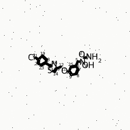 NC(=O)N(O)Cc1cccc(OCc2csc(-c3ccc(Cl)cc3)n2)c1